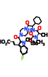 CC(C(=O)NC(C(=O)N1CCN(C(=O)c2c(C=CC(=O)O)c3cc(F)ccc3n2C)CC1)C1CCCCC1)N(C)C(=O)OC(C)(C)C